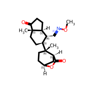 CO/N=C/[C@@H]1[C@@H]([C@@]2(C)CC[C@H]3C[C@@H]2C(=O)O3)CC[C@]2(C)C(=O)CC[C@@H]12